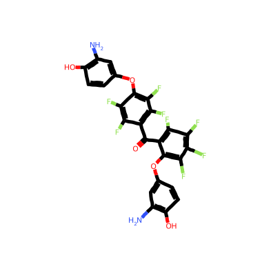 Nc1cc(Oc2c(F)c(F)c(C(=O)c3c(F)c(F)c(F)c(F)c3Oc3ccc(O)c(N)c3)c(F)c2F)ccc1O